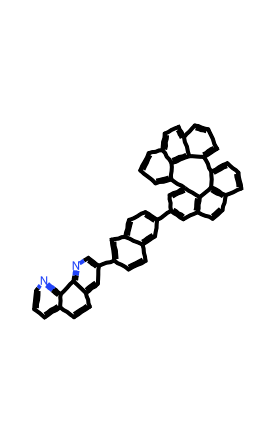 c1cnc2c(c1)ccc1cc(-c3ccc4cc(-c5cc6ccc7cccc8c9cccc%10ccc%11cccc(c(c5)c6c78)c%11c%109)ccc4c3)cnc12